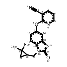 N#Cc1cccnc1Oc1ccc2c(c1)sc(=O)n2CC1CC1(F)F